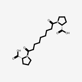 O=C(O)[C@H]1CCCN1C(=O)CCCCCCCC(=O)N1CCC[C@@H]1C(=O)O